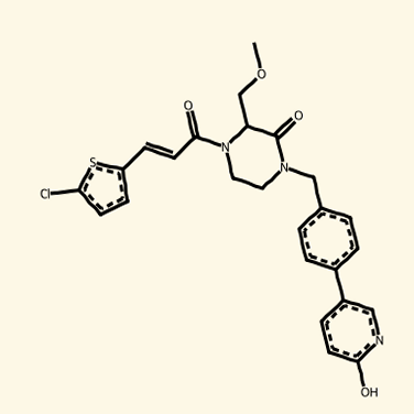 COCC1C(=O)N(Cc2ccc(-c3ccc(O)nc3)cc2)CCN1C(=O)/C=C/c1ccc(Cl)s1